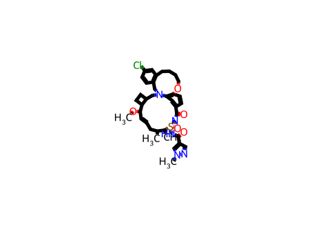 COC1/C=C/CC(C)C(C)S(=O)(NC(=O)c2cnn(C)c2)=NC(=O)c2ccc3c(c2)N(Cc2ccc(Cl)cc2CCCCO3)CC2CCC21